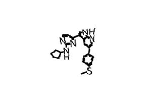 CSc1ccc(-c2cnc3[nH]cc(-c4ccnc(NC5CCCC5)n4)c3c2)cc1